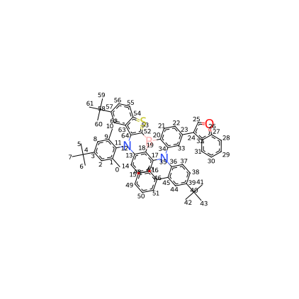 Cc1cc(C(C)(C)C)cc(C)c1N1c2cccc3c2B(c2ccc(-c4coc5ccccc45)cc2N3c2ccc(C(C)(C)C)cc2-c2ccccc2)c2sc3ccc(C(C)(C)C)cc3c21